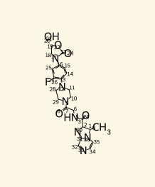 CC1C(C(=O)NCC(=O)N2CCN(c3ccc(N4C[C@H](CO)OC4=O)cc3F)CC2)N=C2C=NC=CN21